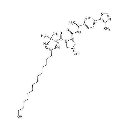 Cc1ncsc1-c1ccc([C@H](C)NC(=O)[C@@H]2C[C@@H](O)CN2C(=O)[C@@H](NC(=O)CCCCCCCCCCCCCCO)C(C)(C)C)cc1